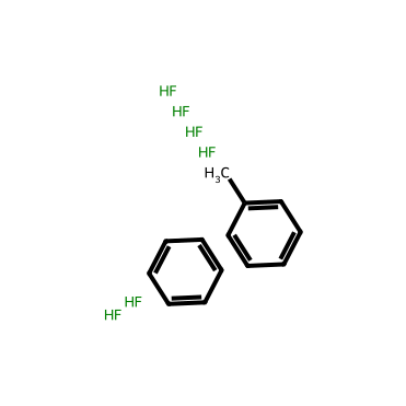 Cc1ccccc1.F.F.F.F.F.F.c1ccccc1